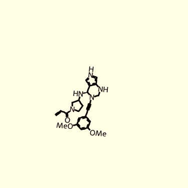 C=CC(=O)N1CCC(N[C@H]2c3c[nH]cc3NCN2C#Cc2cc(OC)cc(OC)c2)C1